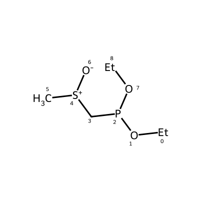 CCOP(C[S+](C)[O-])OCC